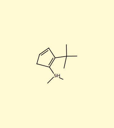 C[SiH](C)C1=C(C(C)(C)C)C=CC1